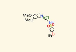 COc1cc2c(cc1OC)CN(CCCCNS(=O)(=O)c1ccc(OC(C)C)cc1)CC2.Cl